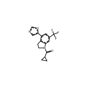 O=C(C1CC1)N1CCc2c(-c3cnco3)cc(C(F)(F)F)cc21